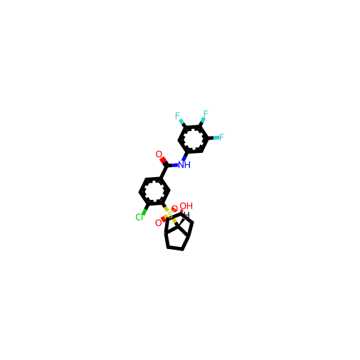 O=C(Nc1cc(F)c(F)c(F)c1)c1ccc(Cl)c(S(=O)(=O)[C@H]2C3CCC2C[C@H](O)C3)c1